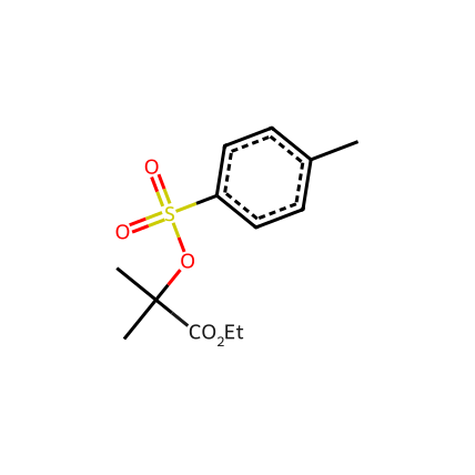 CCOC(=O)C(C)(C)OS(=O)(=O)c1ccc(C)cc1